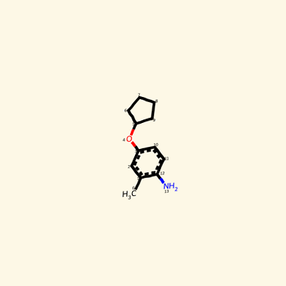 Cc1cc(OC2CCCC2)ccc1N